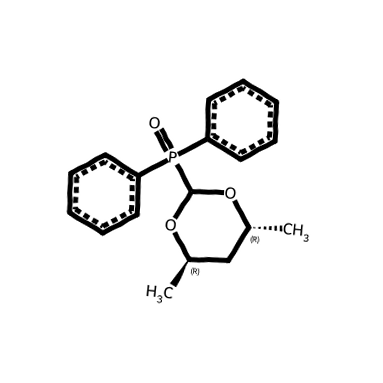 C[C@@H]1C[C@@H](C)OC(P(=O)(c2ccccc2)c2ccccc2)O1